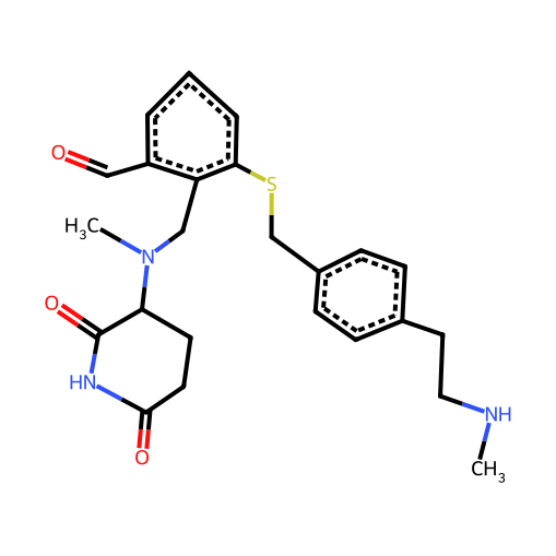 CNCCc1ccc(CSc2cccc(C=O)c2CN(C)C2CCC(=O)NC2=O)cc1